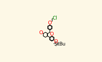 CC(C)(C)[Si](C)(C)Oc1ccc2c(c1)OC(c1ccc(OCCCl)cc1)C1=C2CCC(=O)C1